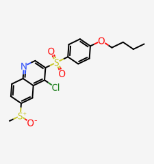 CCCCOc1ccc(S(=O)(=O)c2cnc3ccc([S+](C)[O-])cc3c2Cl)cc1